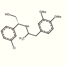 COc1ccc(CC(C)N[C@@H](CO)c2cccc(Cl)c2)cc1OC